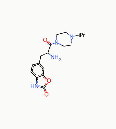 CC(C)N1CCN(C(=O)C(N)Cc2ccc3[nH]c(=O)oc3c2)CC1